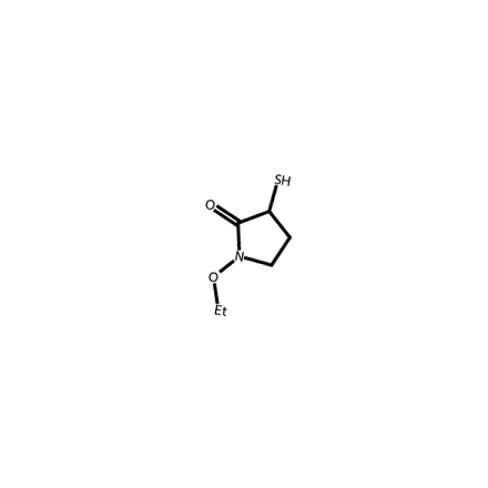 CCON1CCC(S)C1=O